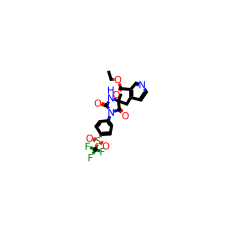 CCOC(=O)c1cnccc1CC1(C)NC(=O)N(c2ccc(S(=O)(=O)C(F)(F)F)cc2)C1=O